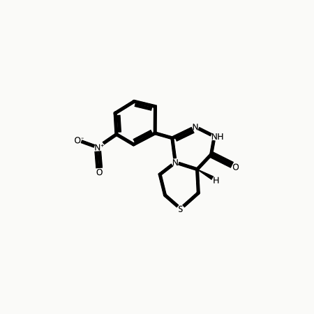 O=C1NN=C(c2cccc([N+](=O)[O-])c2)N2CCSC[C@@H]12